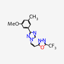 COc1cc(C)cc(-c2ncn(/C=C\c3nnc(C(F)(F)F)o3)n2)c1